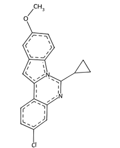 COc1ccc2c(c1)cc1c3ccc(Cl)cc3nc(C3CC3)n21